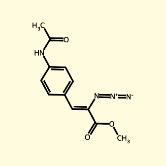 COC(=O)/C(=C/c1ccc(NC(C)=O)cc1)N=[N+]=[N-]